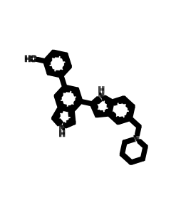 Oc1cccc(-c2cc(-c3cc4cc(CN5CCCCC5)ccc4[nH]3)c3c[nH]cc3c2)c1